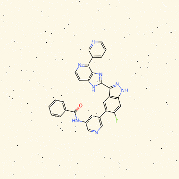 O=C(Nc1cncc(-c2cc3c(-c4nc5c(-c6cccnc6)nccc5[nH]4)n[nH]c3cc2F)c1)c1ccccc1